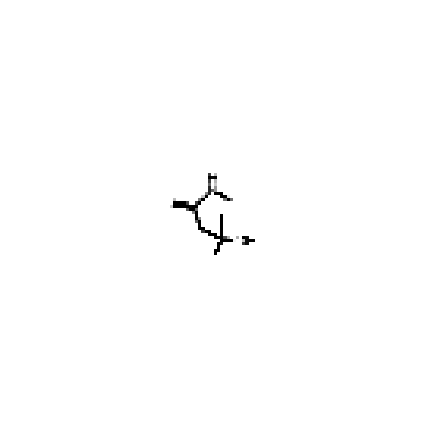 C=C(CC(C)(C)O)NC